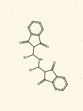 CCC(NC(CC)N1C(=O)c2ccccc2C1=O)N1C(=O)c2ccccc2C1=O